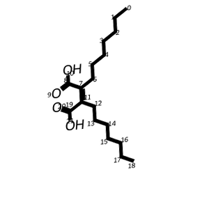 CCCCCCC/C(C(=O)O)=C(\CCCCCCC)C(=O)O